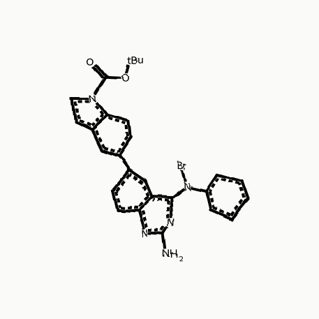 CC(C)(C)OC(=O)n1ccc2cc(-c3ccc4nc(N)nc(N(Br)c5ccccc5)c4c3)ccc21